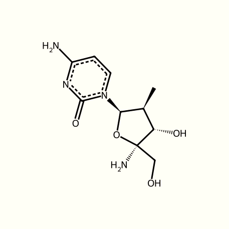 C[C@@H]1[C@H](n2ccc(N)nc2=O)O[C@](N)(CO)[C@H]1O